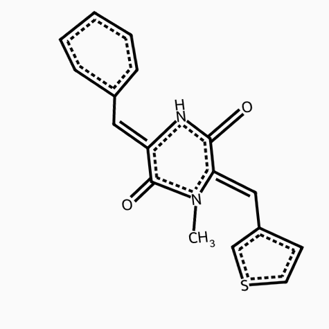 Cn1c(=O)c(=Cc2ccccc2)[nH]c(=O)c1=Cc1ccsc1